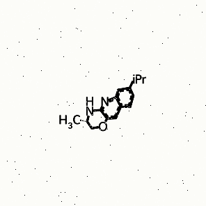 CC(C)c1ccc2cc3c(nc2c1)N[C@@H](C)CO3